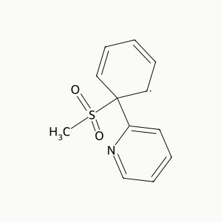 CS(=O)(=O)C1(c2ccccn2)[CH]C=CC=C1